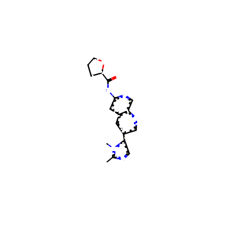 Cc1ncc(-c2cnc3cnc(NC(=O)C4CCCO4)cc3c2)n1C